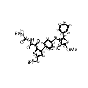 CCNC(=O)NC(=O)C(=O)c1sc(CC(C)C)cc1-c1ccc(Cn2c(-c3ccccc3)nc(OC)c2C=O)cc1